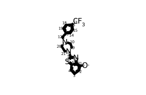 [O]c1cccc2sc(N3CCN(Cc4ccc(C(F)(F)F)cc4)CC3)nc12